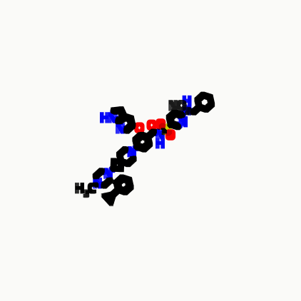 CN1CCN(C2CC3(CCN(c4ccc(C(=O)NS(=O)(=O)c5cnc(NCC6CCCCC6)c([N+](=O)[O-])c5)c(Oc5cnc6[nH]ccc6c5)c4)CC3)C2)[C@H](c2ccccc2C2CC2)C1